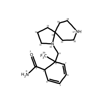 NC(=O)C1C=CC=CC1(CN1CCCC12CCNCC2)C(F)(F)F